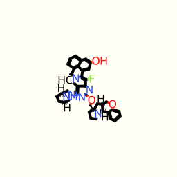 C#Cc1cccc2cc(O)cc(-c3ncc4c(N5C[C@H]6CC[C@@H](C5)N6)nc(OC[C@]56CCCN5[C@H]5c7ccccc7OC[C@H]5C6)nc4c3F)c12